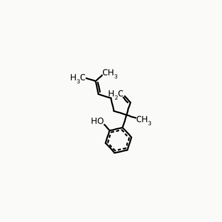 C=CC(C)(CCC=C(C)C)c1ccccc1O